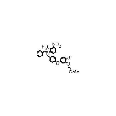 COCCOc1cc(Oc2ccc(CN(Cc3ccccc3)c3cccc([N+](=O)[O-])c3C)cc2)ccc1Br